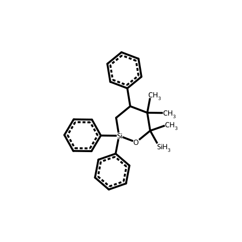 CC1([SiH3])O[Si](c2ccccc2)(c2ccccc2)CC(c2ccccc2)C1(C)C